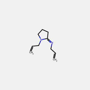 C=CCN=C1CCCN1CC=C